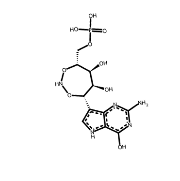 Nc1nc(O)c2[nH]cc([C@@H]3ONO[C@H](COP(=O)(O)O)[C@@H](O)[C@H]3O)c2n1